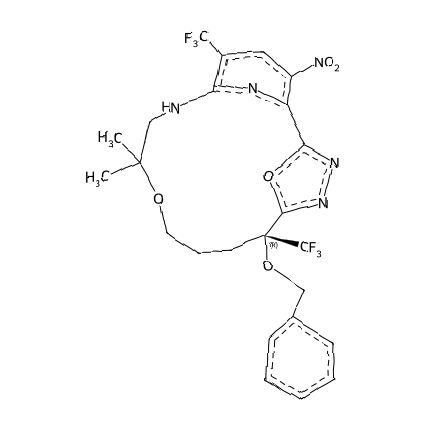 CC1(C)CNc2nc(c([N+](=O)[O-])cc2C(F)(F)F)-c2nnc(o2)[C@@](OCc2ccccc2)(C(F)(F)F)CCCO1